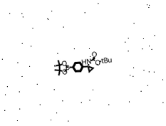 CC(C)(C)OC(=O)NC1(c2ccc(B3OC(C)(C)C(C)(C)O3)cc2)CC1